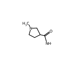 CN1CCC(C([NH])=O)C1